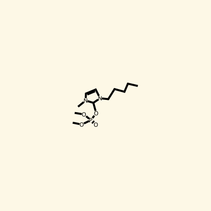 CCCCCN1C=CN(C)C1OP(=O)(OC)OC